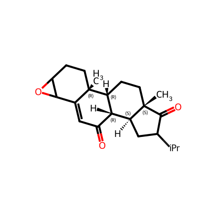 CC(C)C1C[C@H]2[C@@H]3C(=O)C=C4C5OC5CC[C@]4(C)[C@@H]3CC[C@]2(C)C1=O